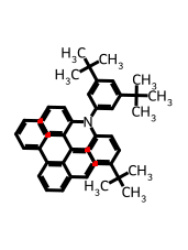 CC(C)(C)c1ccc(N(c2cc(C(C)(C)C)cc(C(C)(C)C)c2)c2ccccc2-c2cccc3cccc(-c4ccccc4)c23)cc1